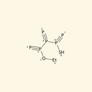 CCOP(#P)P(#P)P(#P)S